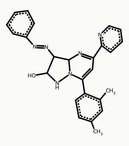 Cc1ccc(C2=CC(c3ccccn3)=NC3C(N=Nc4ccccc4)C(O)NN23)c(C)c1